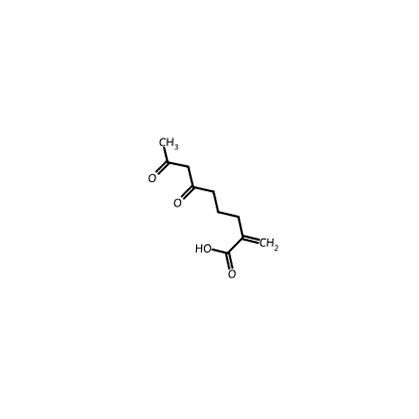 C=C(CCCC(=O)CC(C)=O)C(=O)O